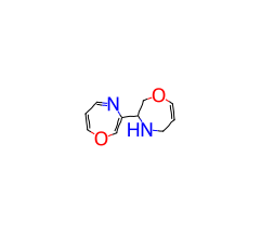 C1=COC=C(C2COC=CCN2)N=C1